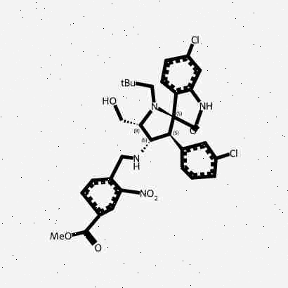 COC(=O)c1ccc(CN[C@@H]2[C@H](CO)N(CC(C)(C)C)[C@@]3(C(=O)Nc4cc(Cl)ccc43)[C@H]2c2cccc(Cl)c2)c([N+](=O)[O-])c1